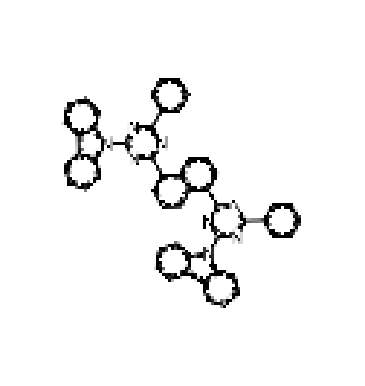 c1ccc(-c2nc(-c3cccc4c(-c5nc(-c6ccccc6)nc(-n6c7ccccc7c7ccccc76)n5)cccc34)nc(-n3c4ccccc4c4ccccc43)n2)cc1